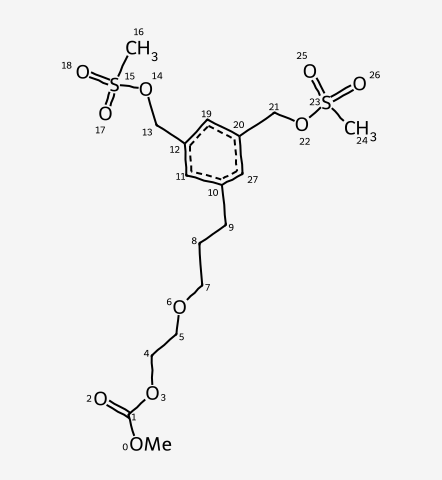 COC(=O)OCCOCCCc1cc(COS(C)(=O)=O)cc(COS(C)(=O)=O)c1